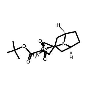 CC(C)(C)OC(=O)N1CC(N2[C@@H]3CC[C@H]2C[C@@H](S(N)(=O)=O)C3)C1